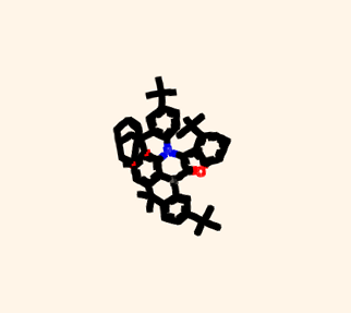 Cc1cc2c3c(c1)C(C)(C)c1ccc(C(C)(C)C)cc1B3c1oc3cccc(C(C)(C)C)c3c1N2c1ccc(C(C)(C)C)cc1C12CC3CC(CC(C3)C1)C2